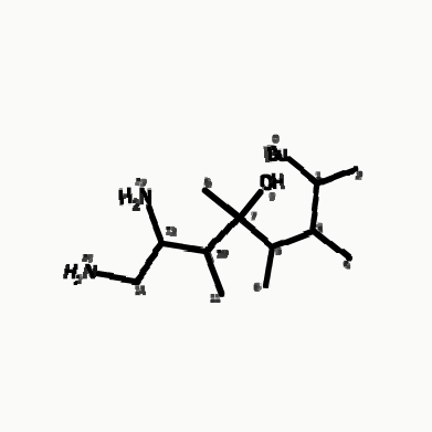 CCC(C)C(C)C(C)C(C)C(C)(O)C(C)C(N)CN